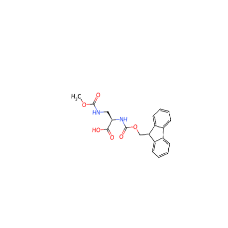 COC(=O)NC[C@@H](NC(=O)OCC1c2ccccc2-c2ccccc21)C(=O)O